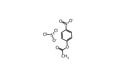 CC(=O)Oc1ccc([N+](=O)[O-])cc1.[O-][S+](Cl)Cl